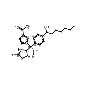 CCCCCCC(O)c1ccc([C@](OC)(c2ccc(C(=O)O)s2)C2CCC(=O)N2)cc1